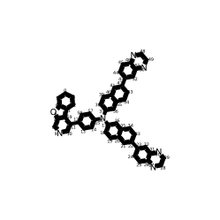 c1ccc2c(c1)oc1cncc(-c3ccc(N(c4ccc5cc(-c6ccc7nccnc7c6)ccc5c4)c4ccc5cc(-c6ccc7nccnc7c6)ccc5c4)cc3)c12